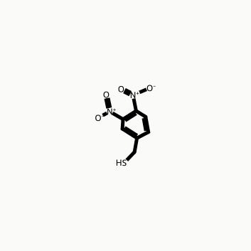 O=[N+]([O-])c1ccc(CS)cc1[N+](=O)[O-]